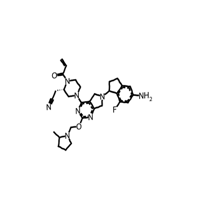 C=CC(=O)N1CCN(c2nc(OCN3CCCC3C)nc3c2CN(C2CCc4cc(N)cc(F)c42)C3)C[C@@H]1CC#N